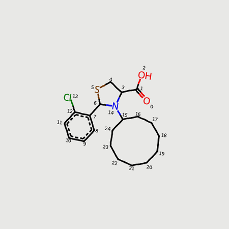 O=C(O)C1CSC(c2ccccc2Cl)N1C1CCCCCCCCC1